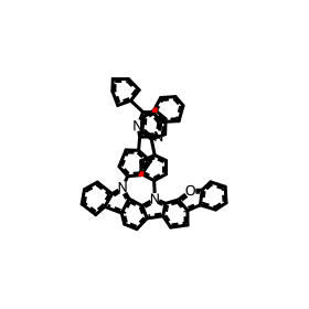 c1ccc(-c2ccc(-n3c4c(ccc5c6ccccc6oc54)c4ccc5c6ccccc6n(-c6ccc(-c7nc(-c8ccccc8)c8ccccc8n7)cc6)c5c43)cc2)cc1